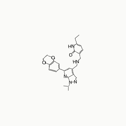 CCc1ccc(CNCc2cc(-c3ccc4c(c3)OCCO4)nc3c2cnn3C(C)C)c(=O)[nH]1